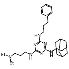 CCN(CC)CCCNc1nc(NCCCc2ccccc2)nc(NC23CC4CC(CC(C4)C2)C3)n1